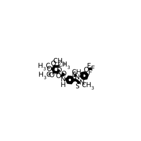 CO[C@@H]1[C@@H](OC)[C@H](C)O[C@@H](OC(=O)Nc2ccc3c(C(=S)N(C)c4ccc(OC(F)(F)F)cc4)nn(C)c3c2)[C@@H]1OC